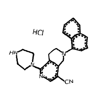 Cl.N#Cc1cnc(N2CCNCC2)c2c1CN(c1cccc3ccccc13)CC2